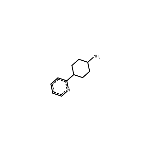 NC1CCC(c2ccccn2)CC1